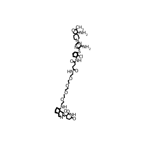 C[C@@H]1OCC2(CCN(c3cnc(Sc4cccc(NC(=O)CCC(=O)NCCOCCOCCOCCOCCNc5cccc6cnn(C7CCC(=O)NC7=O)c(=O)c56)c4Cl)c(N)n3)CC2)[C@@H]1N